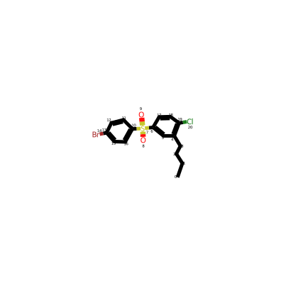 CCCCc1cc(S(=O)(=O)c2ccc(Br)cc2)ccc1Cl